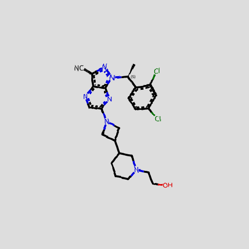 C[C@@H](c1ccc(Cl)cc1Cl)n1nc(C#N)c2ncc(N3CC(C4CCCN(CCO)C4)C3)nc21